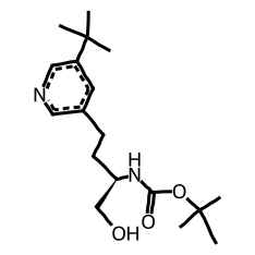 CC(C)(C)OC(=O)N[C@@H](CO)CCc1cncc(C(C)(C)C)c1